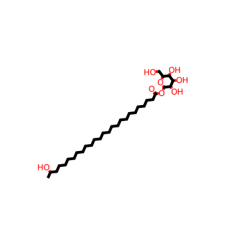 CC(O)CCCCCCCCCCCCCCCCCCCCCCCC(=O)OC1OC(CO)C(O)C(O)C1O